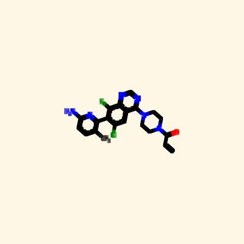 C=CC(=O)N1CCN(c2ncnc3c(F)c(-c4nc(N)ccc4C(F)(F)F)c(Cl)cc23)CC1